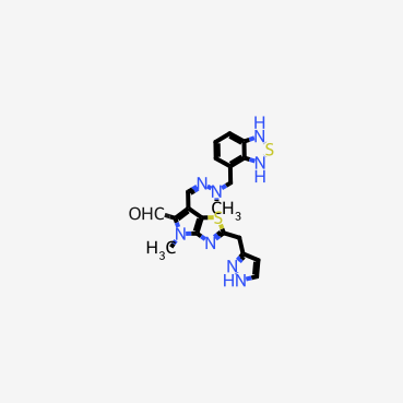 CN(Cc1cccc2c1NSN2)/N=C\c1c(C=O)n(C)c2nc(Cc3cc[nH]n3)sc12